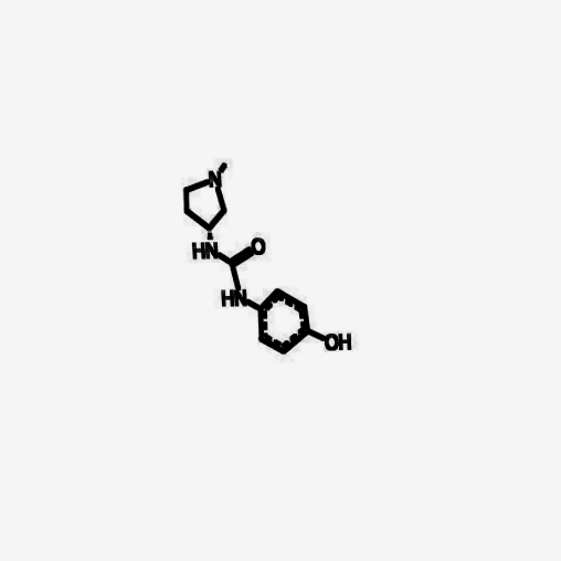 CN1CC[C@@H](NC(=O)Nc2ccc(O)cc2)C1